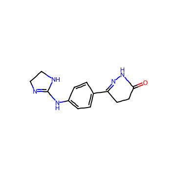 O=C1CCC(c2ccc(NC3=NCCN3)cc2)=NN1